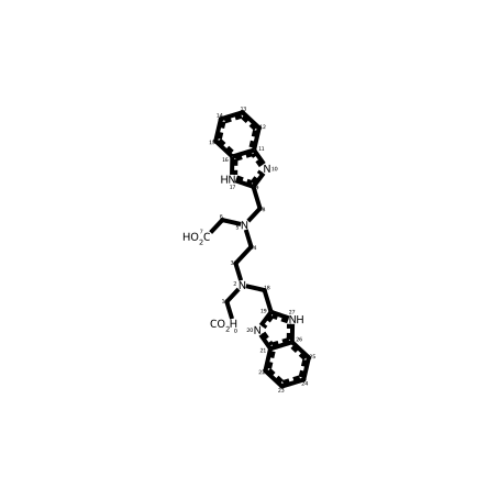 O=C(O)CN(CCN(CC(=O)O)Cc1nc2ccccc2[nH]1)Cc1nc2ccccc2[nH]1